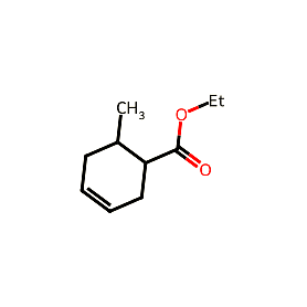 CCOC(=O)C1CC=CCC1C